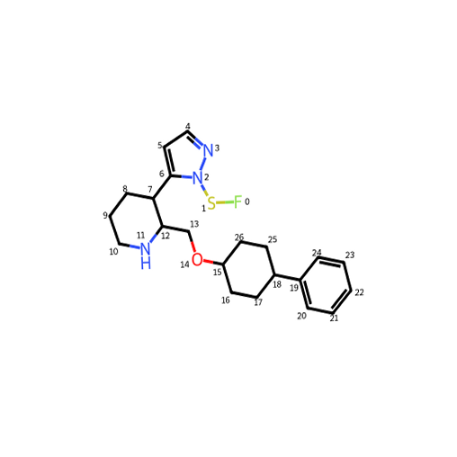 FSn1nccc1C1CCCNC1COC1CCC(c2ccccc2)CC1